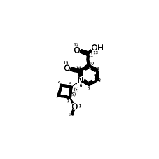 CO[C@H]1CC[C@@H]1n1cccc(C(=O)O)c1=O